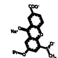 CC(C)Oc1cc([S+](C)[O-])c2oc3ccc(C(=O)[O-])cc3c(=O)c2c1.[Na+]